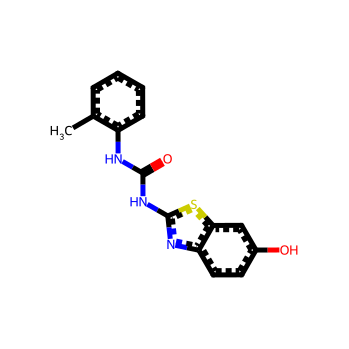 Cc1ccccc1NC(=O)Nc1nc2ccc(O)cc2s1